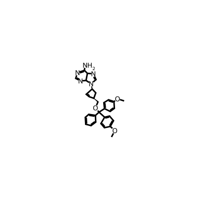 COc1ccc(C(OC[C@H]2C=C[C@@H](N3C=NC4C(N)=NC=NC43)C2)(c2ccccc2)c2ccc(OC)cc2)cc1